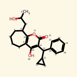 CC(O)CC1CCCCc2c1oc(=O)c(C(c1ccccc1)C1CC1)c2O